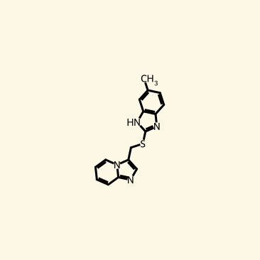 Cc1ccc2nc(SCc3cnc4ccccn34)[nH]c2c1